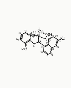 CC(N)(CN)C(Cc1c(Cl)cccc1Cl)c1ccnc2cc(Cl)ccc12